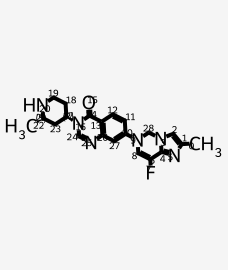 Cc1cn2c(n1)C(F)=CN(c1ccc3c(=O)n([C@@H]4CCN[C@@H](C)C4)cnc3c1)C2